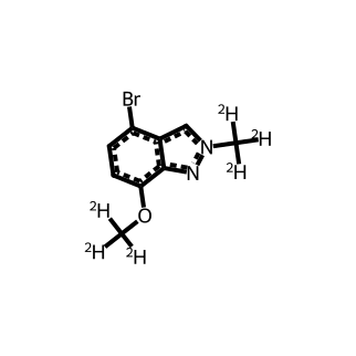 [2H]C([2H])([2H])Oc1ccc(Br)c2cn(C([2H])([2H])[2H])nc12